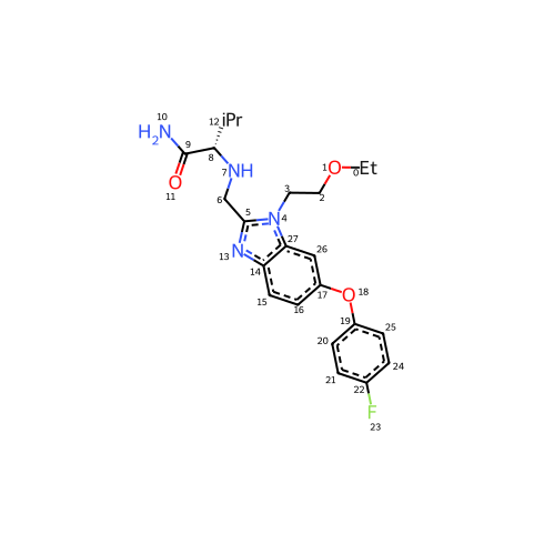 CCOCCn1c(CN[C@H](C(N)=O)C(C)C)nc2ccc(Oc3ccc(F)cc3)cc21